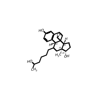 C=CC12CCc3cc(O)ccc3[C@H]1C(CCCCC(C)O)C[C@]1(C)[C@@H](O)CC[C@@H]21